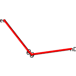 CCCCCCCCCCCCCCCCCCCCCCCCCCCCCCCCCCCCCCCCCCCCCCCCCCCCCCCCCCCCCCCCOC(=O)CCCCC(=O)OCCCCCCCCCCCCCCCCCCCCCCCCCCCCCCCCCCCCCCCCCCCCCCCCCCCCCCCCCCCCCCCC